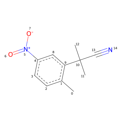 Cc1ccc([N+](=O)[O-])cc1C(C)(C)C#N